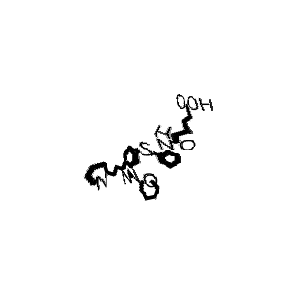 O=C(O)CCCCC(=O)Nc1ccccc1Sc1ccc2c(C=Cc3ccccn3)nn(C3CCCCO3)c2c1